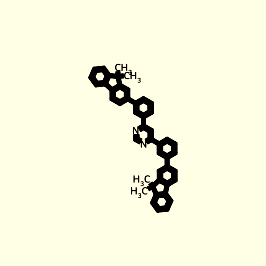 CC1(C)c2ccccc2-c2ccc(-c3cccc(-c4cc(-c5cccc(-c6ccc7c(c6)C(C)(C)c6ccccc6-7)c5)ncn4)c3)cc21